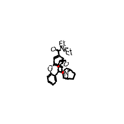 CCN(CC)C(=O)c1ccc2c(c1)Oc1ccccc1C2C1CC2CCC(C1)N2Cc1ccco1